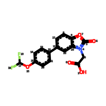 O=C(O)Cn1c(=O)oc2ccc(-c3ccc(OC(F)F)cc3)cc21